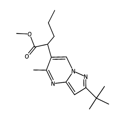 CCCC(C(=O)OC)c1cn2nc(C(C)(C)C)cc2nc1C